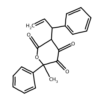 C=CC(c1ccccc1)C1C(=O)OC(C)(c2ccccc2)C(=O)C1=O